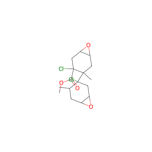 COC(=O)C1(Cl)CC2OC2CC1(C)C1(Cl)CC2OC2CC1C